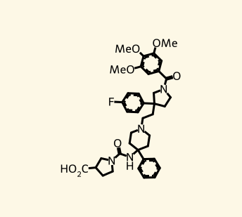 COc1cc(C(=O)N2CCC(CCN3CCC(NC(=O)N4CCC(C(=O)O)C4)(c4ccccc4)CC3)(c3ccc(F)cc3)C2)cc(OC)c1OC